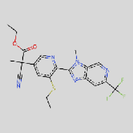 CCOC(=O)C(C)(C#N)c1cnc(-c2nc3cc(C(F)(F)F)ncc3n2C)c(SCC)c1